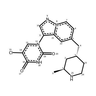 C[C@H]1C[C@H](Cc2ccn3ncc(-n4cc(Cl)c(=O)[nH]c4=O)c3c2)CCN1